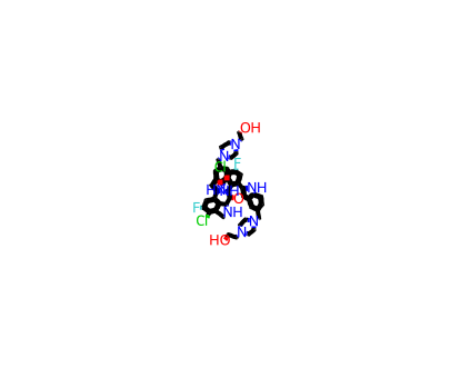 O=C(C1NCc2c(Cl)c(F)cc(-c3cc4cc(CN5CCN(CCO)CC5)ccc4[nH]3)c21)C1NCc2c(Cl)c(F)cc(-c3cc4cc(CN5CCN(CCO)CC5)ccc4[nH]3)c21